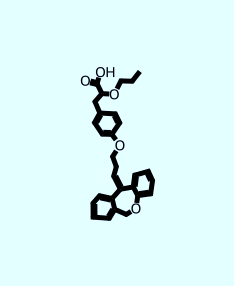 CCCOC(Cc1ccc(OCCC=C2c3ccccc3COc3ccccc32)cc1)C(=O)O